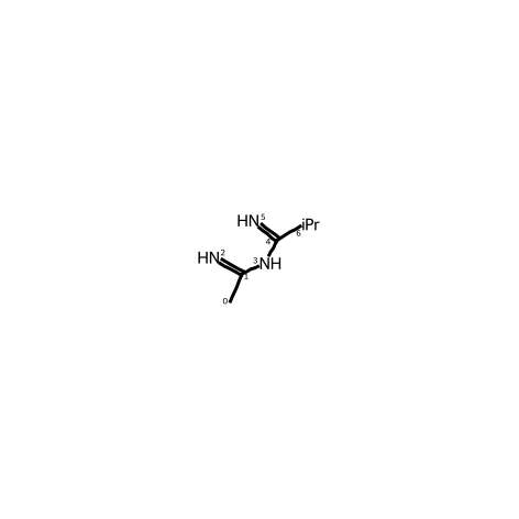 CC(=N)NC(=N)C(C)C